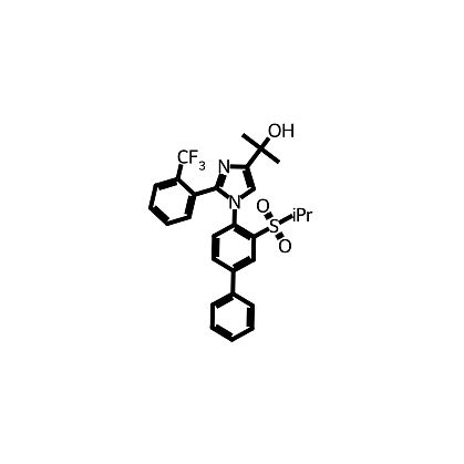 CC(C)S(=O)(=O)c1cc(-c2ccccc2)ccc1-n1cc(C(C)(C)O)nc1-c1ccccc1C(F)(F)F